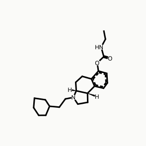 CCNC(=O)Oc1cccc2c1CC[C@@H]1[C@H]2CCN1CCC1CCCCC1